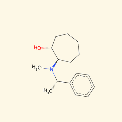 C[C@@H](c1ccccc1)N(C)[C@@H]1CCCCC[C@H]1O